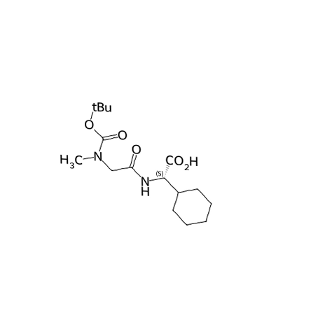 CN(CC(=O)N[C@H](C(=O)O)C1CCCCC1)C(=O)OC(C)(C)C